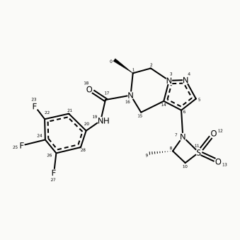 C[C@H]1Cn2ncc(N3[C@@H](C)CS3(=O)=O)c2CN1C(=O)Nc1cc(F)c(F)c(F)c1